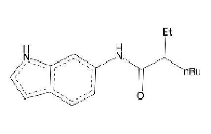 CCCCC(CC)C(=O)Nc1ccc2cc[nH]c2c1